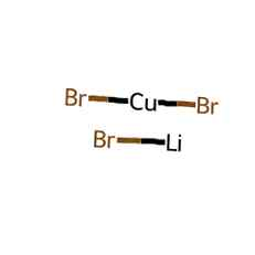 [Br][Cu][Br].[Li][Br]